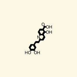 O=C(O)c1ccc2nc(C=Cc3ccc(O)c(O)c3)ccc2c1O